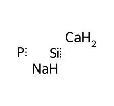 [CaH2].[NaH].[P].[Si]